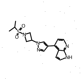 CC(C)S(=O)(=O)N1CC(n2cc(-c3ccnc4[nH]ccc34)cn2)C1